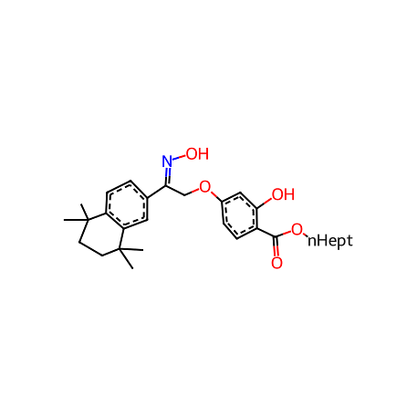 CCCCCCCOC(=O)c1ccc(OCC(=NO)c2ccc3c(c2)C(C)(C)CCC3(C)C)cc1O